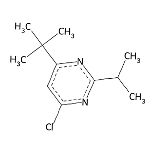 CC(C)c1nc(Cl)cc(C(C)(C)C)n1